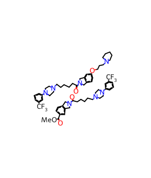 COC(=O)c1ccc2c(c1)CN(C(=O)CCCCCN1CCN(c3cccc(C(F)(F)F)c3)CC1)C2.O=C(CCCCCN1CCN(c2cccc(C(F)(F)F)c2)CC1)N1Cc2ccc(OCCCN3CCCCC3)cc2C1